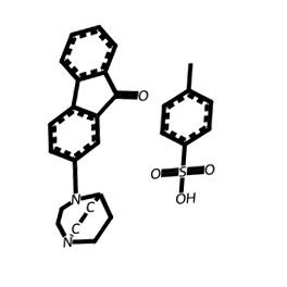 Cc1ccc(S(=O)(=O)O)cc1.O=C1c2ccccc2-c2ccc(N3CCN4CCC3CC4)cc21